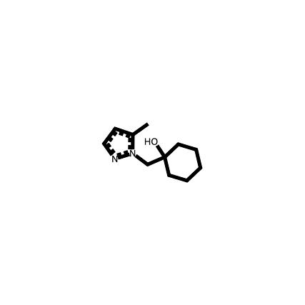 Cc1ccnn1CC1(O)CCCCC1